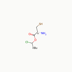 CCCCC(Cl)OC(=O)[C@@H](N)CS